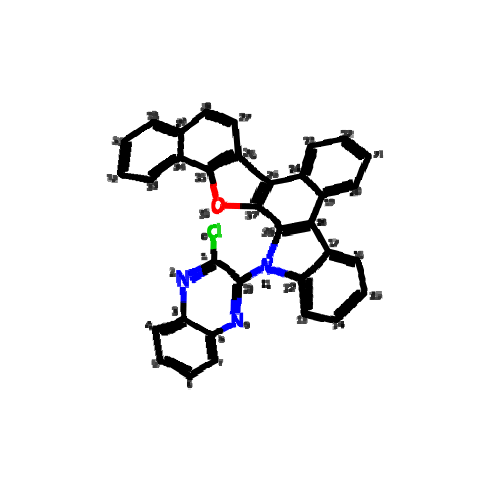 Clc1nc2ccccc2nc1-n1c2ccccc2c2c3ccccc3c3c4ccc5ccccc5c4oc3c21